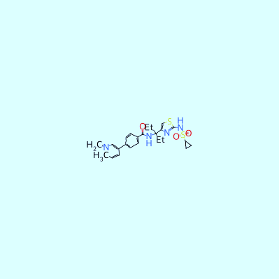 C=N/C=C(\C=C/C)c1ccc(C(=O)NC(CC)(CC)c2csc(NS(=O)(=O)C3CC3)n2)cc1